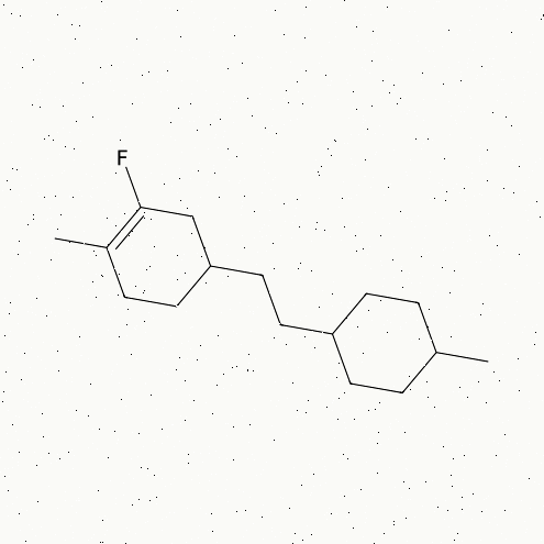 CC1=C(F)CC(CCC2CCC(C)CC2)CC1